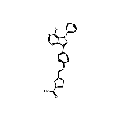 O=C(O)N1CCC(COc2ccc(-c3cn(-c4ccccc4)c4c(Cl)ncnc34)cc2)C1